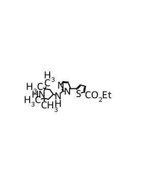 CCOC(=O)c1ccc(-c2ccnc(NC3CC(C)(C)NC(C)(C)C3)n2)s1